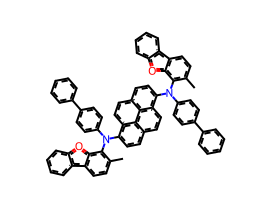 Cc1ccc2c(oc3ccccc32)c1N(c1ccc(-c2ccccc2)cc1)c1ccc2ccc3c(N(c4ccc(-c5ccccc5)cc4)c4c(C)ccc5c4oc4ccccc45)ccc4ccc1c2c43